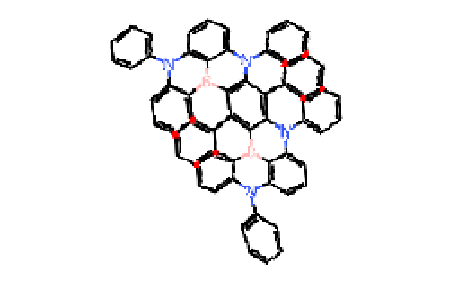 c1ccc(-c2c3c(c(-c4ccccc4)c4c2B2c5ccccc5N(c5ccccc5)c5cccc(c52)N4c2ccccc2)N(c2ccccc2)c2cccc4c2B3c2ccccc2N4c2ccccc2)cc1